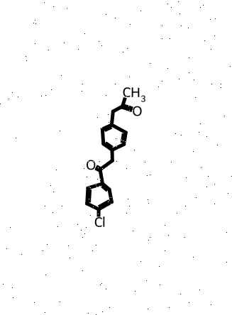 CC(=O)Cc1ccc(CC(=O)c2ccc(Cl)cc2)cc1